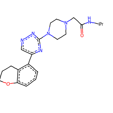 CC(C)NC(=O)CN1CCN(c2nncc(-c3cccc4c3CCCO4)n2)CC1